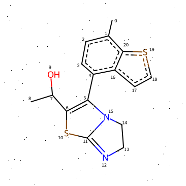 Cc1ccc(C2=C(C(C)O)SC3=NCCN32)c2ccsc12